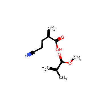 C=C(C)C(=O)OC.C=C(CCC#N)C(=O)O